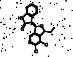 CCC1O/C(=C2/C(=O)Nc3ccccc32)c2cnc(Cl)c(Cl)c21